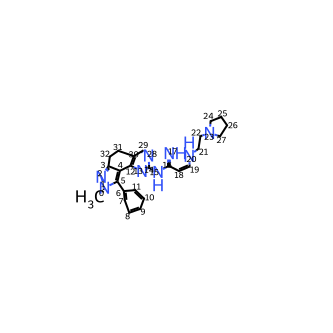 Cn1nc2c(c1-c1ccccc1)-c1nc(NC(=N)/C=C\NCCN3CCCC3)ncc1CC2